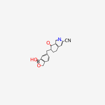 N#Cc1cc2c(cn1)C(=O)C(Cc1ccc3c(c1)B(O)OC3)CC2